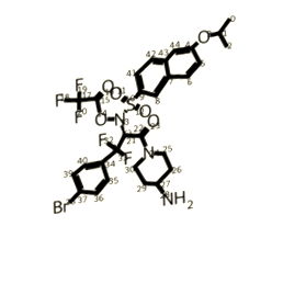 CC(C)Oc1ccc2cc(S(=O)(=O)N(OC(=O)C(F)(F)F)[C@@H](C(=O)N3CCC(N)CC3)C(F)(F)c3ccc(Br)cc3)ccc2c1